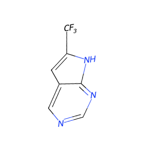 FC(F)(F)c1cc2cncnc2[nH]1